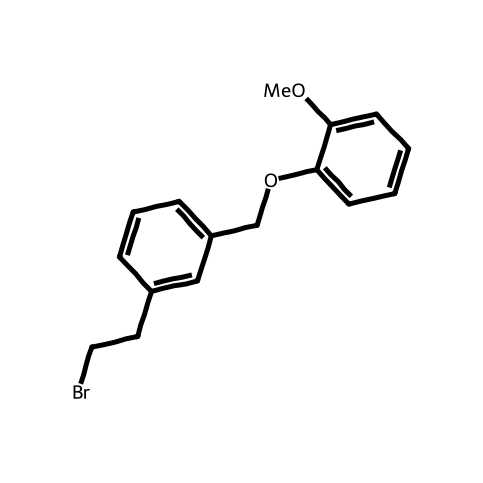 COc1ccccc1OCc1cccc(CCBr)c1